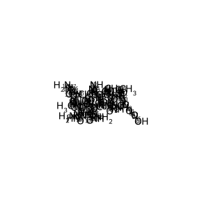 CN1C[C@@H](COP(=O)(N(C)C)N2C[C@@H](COP(=O)(N(C)C)N3C[C@@H](COP(=O)(N(C)C)N4C[C@@H](COP(=O)(N(C)C)N5C[C@@H](COP(=O)(N(C)C)N6CCN(C(=O)OCCOCCOCCO)CC6)O[C@@H](n6cnc7c(=O)[nH]c(N)nc76)C5)O[C@@H](Cn5ccc(N)nc5=O)C4)O[C@@H](n4cnc5c(=O)[nH]c(N)nc54)C3)O[C@@H](n3cnc4c(=O)[nH]c(N)nc43)C2)O[C@@H](n2ccc(N)nc2=O)C1